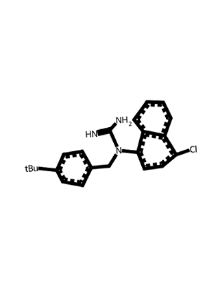 CC(C)(C)c1ccc(CN(C(=N)N)c2ccc(Cl)c3ccccc23)cc1